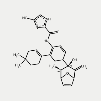 C=C1C2C=CC(O2)[C@@H](C)[C@]1(O)C1C=CC(NC(=O)c2nc(C#N)c[nH]2)=C(C2=CCC(C)(C)CC2)C1